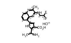 Cc1nc2cccc(-c3cc(C(=O)O)c(C(C)N)[nH]3)c2nc1NCC(F)F.Cl